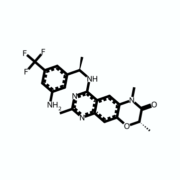 Cc1nc(N[C@H](C)c2cc(N)cc(C(F)(F)F)c2)c2cc3c(cc2n1)O[C@@H](C)C(=O)N3C